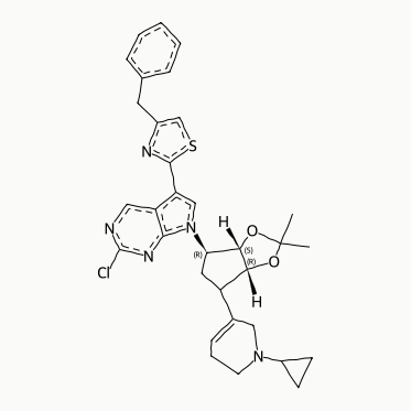 CC1(C)O[C@@H]2[C@H](O1)C(C1=CCCN(C3CC3)C1)C[C@H]2n1cc(-c2nc(Cc3ccccc3)cs2)c2cnc(Cl)nc21